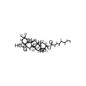 CCCCCCCC(=O)O[C@H]1CC[C@]2(C)[C@H]3CC=C4[C@@H]5CC(C)(C)CC[C@]5(C(=O)O)CC[C@@]4(C)[C@]3(C)CC[C@H]2C1(C)C